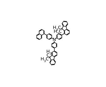 CC1(C)c2ccccc2-c2ccc(-c3ccc(N(c4ccc(-c5cccc6c5C(C)(C)c5ccccc5-6)cc4)c4ccc(-c5cccc6ccccc56)cc4)cc3)cc21